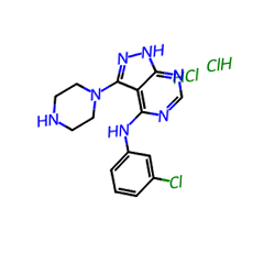 Cl.Cl.Clc1cccc(Nc2ncnc3[nH]nc(N4CCNCC4)c23)c1